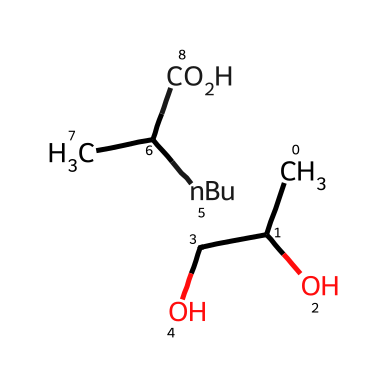 CC(O)CO.CCCCC(C)C(=O)O